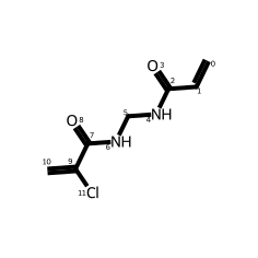 C=CC(=O)NCNC(=O)C(=C)Cl